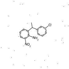 CC(c1cccc(Cl)c1)c1cccc([N+](=O)[O-])c1N